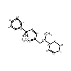 C=C(/C=C\C(=C/C)CN(C)C1C=CCCC1)c1ccccc1